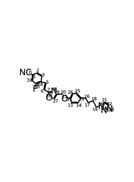 N#Cc1ccc(/C=C/c2nc(COc3ccc(CCCCn4ccnn4)cc3)co2)c(F)c1